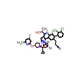 Cc1cc(F)cc(O[C@H]2C[C@H](c3cc4c([C@@H](C)O)nc5c(F)c(-c6cccc(Cl)c6Cl)c(CCC#N)cc5c4n3[C@H]3[C@H]4CN[C@@H]3C4)N(C(=O)C3CC3)C2)n1